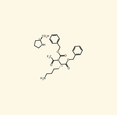 NCCCC[C@@H](C(=O)OCc1ccccc1)N(C(=O)OCc1ccccc1)C(=O)C(F)(F)F.O=C(O)[C@@H]1CCCN1